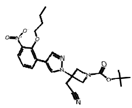 CCCCOc1c(-c2cnn(C3(CC#N)CN(C(=O)OC(C)(C)C)C3)c2)cccc1[N+](=O)[O-]